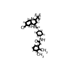 Cc1cccc(CC(=O)N[C@H]2CC[C@@H](CNc3cc(C(F)(F)F)nc4ccc(Cl)cc34)CC2)c1C